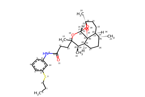 CCCSc1cccc(NC(=O)CCC2(C)O[C@@H]3O[C@]4(C)CC[C@H]5[C@H](C)CC[C@@H]([C@H]2C)[C@@]35OO4)c1